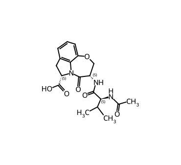 CC(=O)N[C@H](C(=O)N[C@H]1COc2cccc3c2N(C1=O)[C@H](C(=O)O)C3)C(C)C